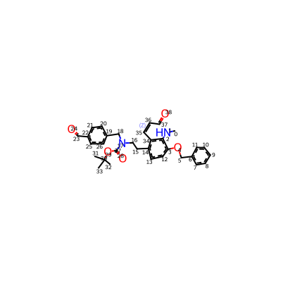 CNc1c(OCc2ccccc2)ccc(CCN(Cc2ccc(C=O)cc2)C(=O)OC(C)(C)C)c1/C=C\C=O